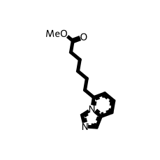 COC(=O)CCCCCc1cccc2cncn12